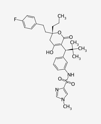 CCC[C@]1(CCc2ccc(F)cc2)CC(O)=C([C@H](c2cccc(NS(=O)(=O)c3cn(C)cn3)c2)C(C)(C)C)C(=O)O1